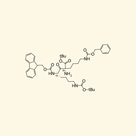 CC(C)(C)OC(=O)NCCCC[C@H](NC(=O)OCC1c2ccccc2-c2ccccc21)C(=O)[C@](N)(CCCCNC(=O)OCc1ccccc1)C(=O)OC(C)(C)C